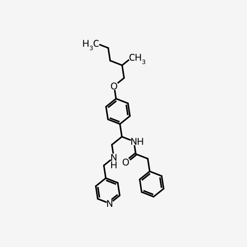 CCCC(C)COc1ccc(C(CNCc2ccncc2)NC(=O)Cc2ccccc2)cc1